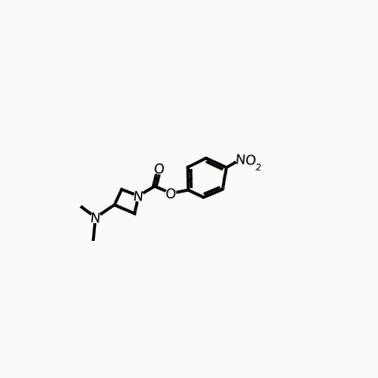 CN(C)C1CN(C(=O)Oc2ccc([N+](=O)[O-])cc2)C1